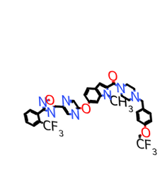 Cn1c(C(=O)N2CCN(Cc3ccc(OCC(F)(F)F)cc3)CC2)cc2ccc(Oc3cnc(-c4nc(-c5ccccc5C(F)(F)F)no4)cn3)cc21